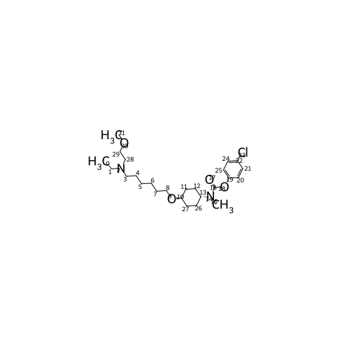 CCN(CCCCCCO[C@H]1CC[C@H](N(C)C(=O)Oc2ccc(Cl)cc2)CC1)CCOC